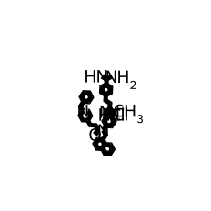 Cl.Cl.Cn1c(CCc2ccc(C(=N)N)cc2)nc2cc(N(Cc3cccc4ccccc34)C(=O)CCC3CCN(Cc4ccccc4)CC3)ccc21